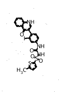 Cc1ccc(S(=O)(=O)NC(=O)Nc2ccc(-c3c[nH]c4ccccc4c3=O)c(I)c2)s1